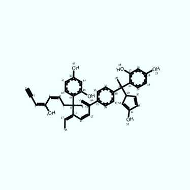 C#C/C=C(O)\C=C/CC(C)(C(/C=C\C(=C)c1ccc(C(C)(c2ccc(O)cc2O)C2C=CC(O)=C2)cc1)=C/C)c1ccc(O)cc1O